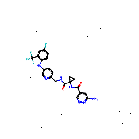 Nc1cc(C(=O)NC2(C(=O)NCc3ccc(Nc4ccc(F)cc4C(F)(F)F)cn3)CC2)cnn1